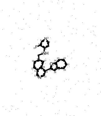 Fc1cnccc1NCc1ccc2cncc(-c3cc4ccccc4o3)c2c1